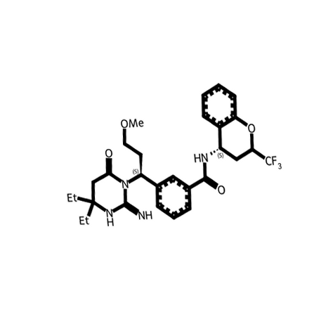 CCC1(CC)CC(=O)N([C@@H](CCOC)c2cccc(C(=O)N[C@H]3CC(C(F)(F)F)Oc4ccccc43)c2)C(=N)N1